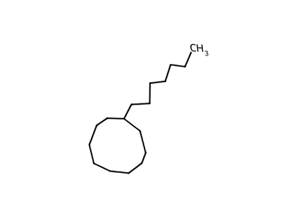 CCCCCCCC1CCCCCCCCC1